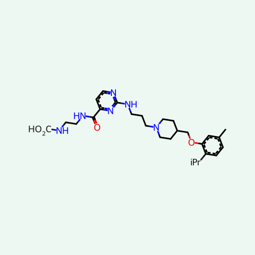 Cc1ccc(C(C)C)c(OCC2CCN(CCCNc3nccc(C(=O)NCCNC(=O)O)n3)CC2)c1